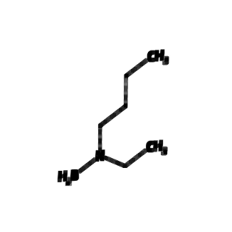 BN(CC)CCCC